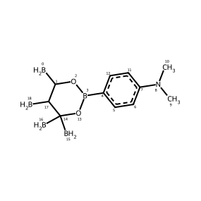 BC1OB(c2ccc(N(C)C)cc2)OC(B)(B)C1B